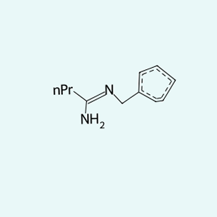 CCCC(N)=NCc1ccccc1